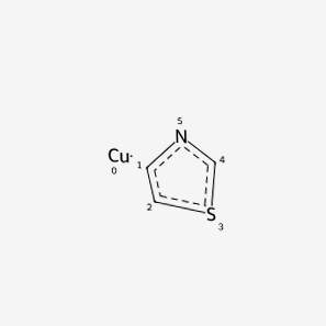 [Cu].c1cscn1